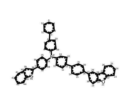 c1ccc(-c2ccc(N(c3ccc(-c4ccc(-c5ccc6oc7ccccc7c6c5)cc4)cc3)c3ccc(-c4cc5ccccc5s4)cc3)cc2)cc1